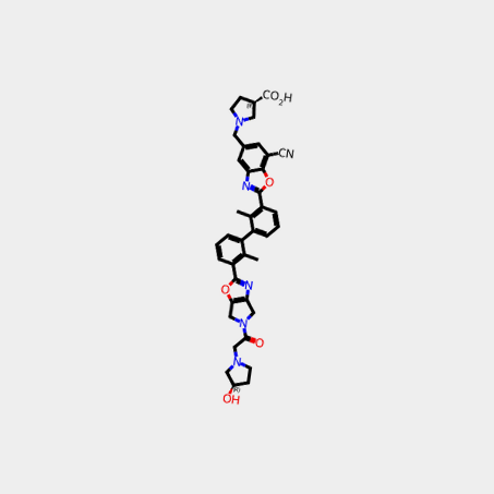 Cc1c(-c2nc3c(o2)CN(C(=O)CN2CC[C@@H](O)C2)C3)cccc1-c1cccc(-c2nc3cc(CN4CC[C@@H](C(=O)O)C4)cc(C#N)c3o2)c1C